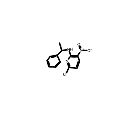 CC(Nc1nc(Cl)ccc1[N+](=O)[O-])c1ccccc1